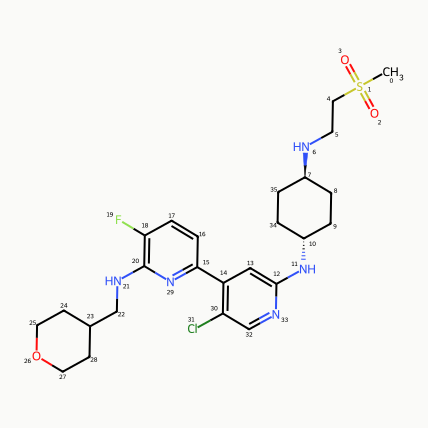 CS(=O)(=O)CCN[C@H]1CC[C@H](Nc2cc(-c3ccc(F)c(NCC4CCOCC4)n3)c(Cl)cn2)CC1